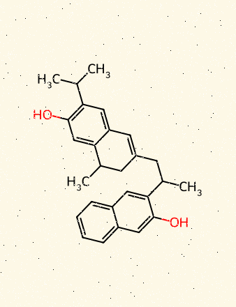 CC(C)c1cc2c(cc1O)C(C)CC(CC(C)c1cc3ccccc3cc1O)=C2